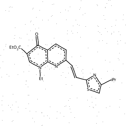 CCOC(=O)c1cn(CC)c2nc(C=Cc3nc(C(C)C)cs3)ccc2c1=O